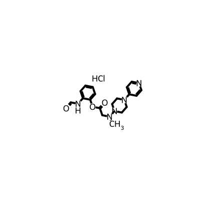 CN(CC(=O)Oc1ccccc1NC=O)N1CCN(c2ccncc2)CC1.Cl